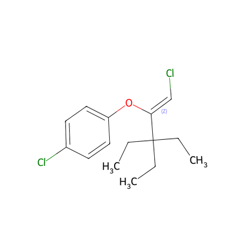 CCC(CC)(CC)/C(=C/Cl)Oc1ccc(Cl)cc1